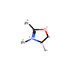 CC(C)C1=[N+](C(C)C)[C@@H](C)CO1